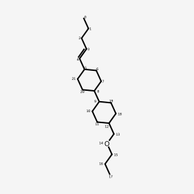 CCCC=CC1CCC(C2CCC(COCCC)CC2)CC1